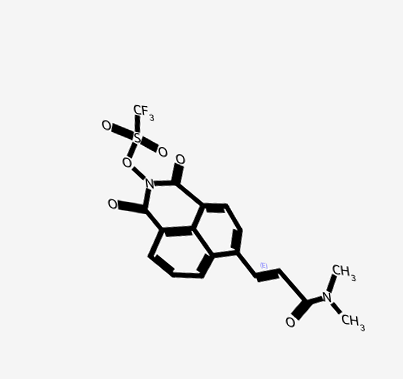 CN(C)C(=O)/C=C/c1ccc2c3c(cccc13)C(=O)N(OS(=O)(=O)C(F)(F)F)C2=O